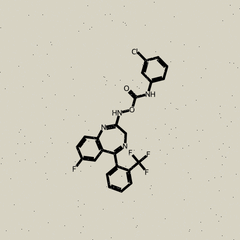 O=C(Nc1cccc(Cl)c1)ONC1=Nc2ccc(F)cc2C(c2ccccc2C(F)(F)F)=NC1